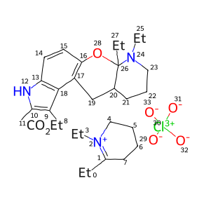 CCC1=[N+](CC)CCCC1.CCOC(=O)c1c(C)[nH]c2ccc3c(c12)CC1CCCN(CC)C1(CC)O3.[O-][Cl+3]([O-])([O-])[O-]